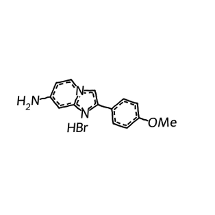 Br.COc1ccc(-c2cn3ccc(N)cc3n2)cc1